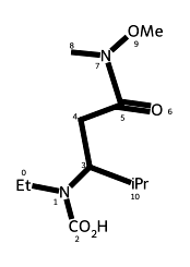 CCN(C(=O)O)C(CC(=O)N(C)OC)C(C)C